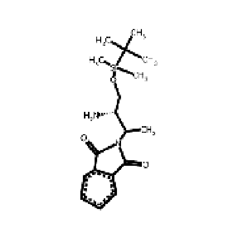 CC([C@H](N)CO[Si](C)(C)C(C)(C)C)N1C(=O)c2ccccc2C1=O